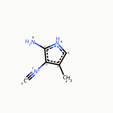 [C-]#[N+]c1c(C)c[nH]c1N